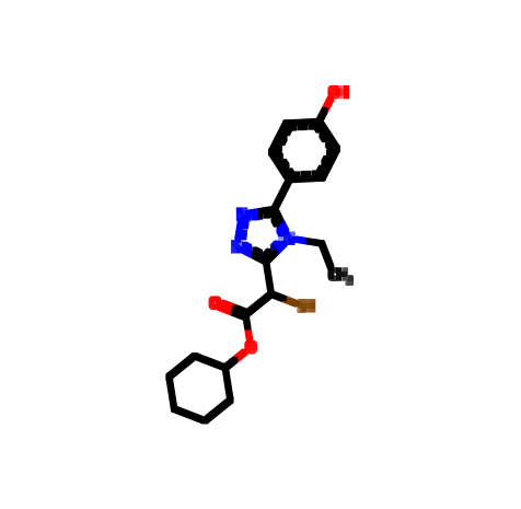 CCn1c(-c2ccc(O)cc2)nnc1C(S)C(=O)OC1CCCCC1